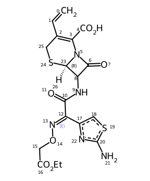 C=CC1=C(C(=O)O)N2C(=O)C(NC(=O)/C(=N/OCC(=O)OCC)c3csc(N)n3)[C@H]2SC1